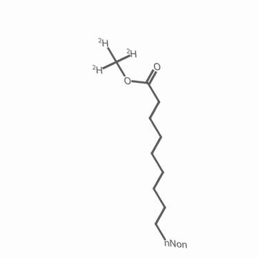 [2H]C([2H])([2H])OC(=O)CCCCCCCCCCCCCCCCC